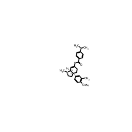 COc1ccc([C@@]23CCC(OC(=O)c4ccc(N(C)C)cc4)=C[C@@H]2N(C)CC3)cc1C